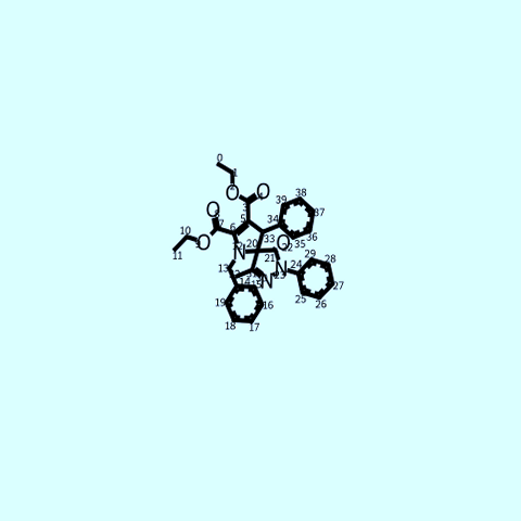 CCOC(=O)C1=C(C(=O)OCC)N(Cc2ccccc2)C2(C(=O)N(c3ccccc3)N=C2C)C1c1ccccc1